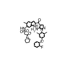 Cc1cc2cc(C(=O)c3cnn(-c4c(C)cc(Oc5ccccc5F)cc4C)c3N)[nH]c2cc1NS(=O)(=O)CC(=O)N1CCCC1